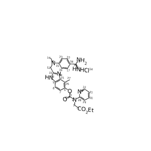 CCOC(=O)CN(C(=O)Oc1ccc2[nH]c(CN(C)c3ccc(C(=N)N)cc3)nc2c1C)c1ccccn1.Cl